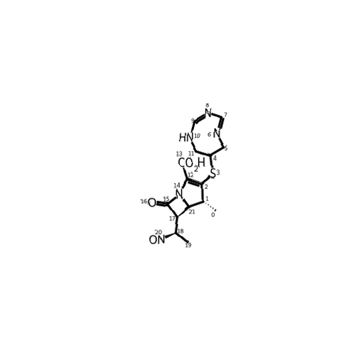 C[C@H]1C(SC2C/N=C/N=C\NC2)=C(C(=O)O)N2C(=O)[C@H]([C@@H](C)N=O)C12